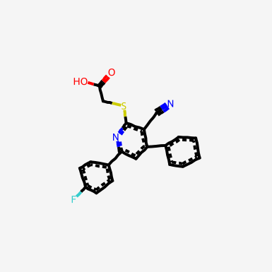 N#Cc1c(-c2ccccc2)cc(-c2ccc(F)cc2)nc1SCC(=O)O